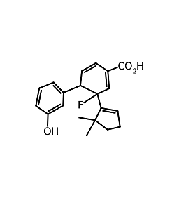 CC1(C)CCC=C1C1(F)C=C(C(=O)O)C=CC1c1cccc(O)c1